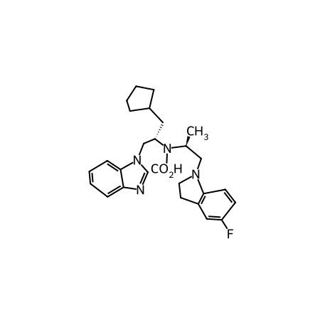 C[C@@H](CN1CCc2cc(F)ccc21)N(C(=O)O)[C@@H](CC1CCCC1)Cn1cnc2ccccc21